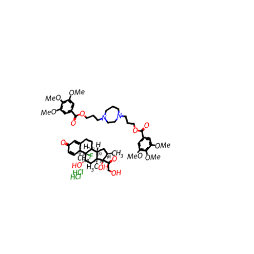 COc1cc(C(=O)OCCCN2CCCN(CCCOC(=O)c3cc(OC)c(OC)c(OC)c3)CC2)cc(OC)c1OC.C[C@@H]1C[C@H]2[C@@H]3CCC4=CC(=O)C=C[C@]4(C)[C@@]3(F)[C@@H](O)C[C@]2(C)[C@@]1(O)C(=O)CO.Cl.Cl